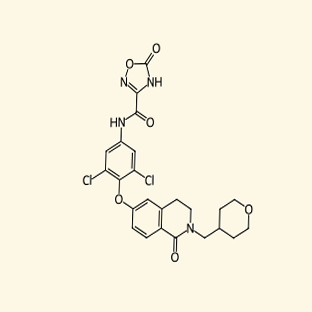 O=C(Nc1cc(Cl)c(Oc2ccc3c(c2)CCN(CC2CCOCC2)C3=O)c(Cl)c1)c1noc(=O)[nH]1